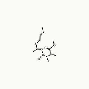 CCCCOC(C)OC(=O)C(C)C(C)C(=O)OC